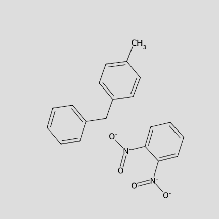 Cc1ccc(Cc2ccccc2)cc1.O=[N+]([O-])c1ccccc1[N+](=O)[O-]